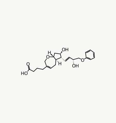 O=C(O)CCCC1=CC[C@@H]2[C@@H](/C=C/[C@@H](O)COc3ccccc3)[C@H](O)C[C@H]2OC1